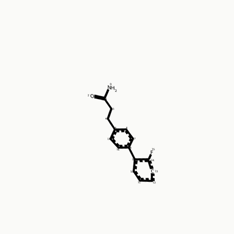 NC(=O)CCc1ccc(-c2ccccc2F)cc1